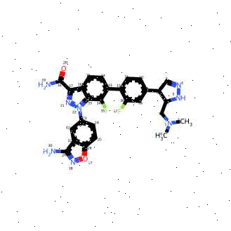 CN(C)CC1NN=CC1c1ccc(-c2ccc3c(C(N)=O)nn(-c4ccc5onc(N)c5c4)c3c2F)c(F)c1